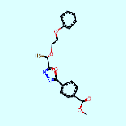 COC(=O)c1ccc(-c2nnc(C(S)OCCOc3ccccc3)o2)cc1